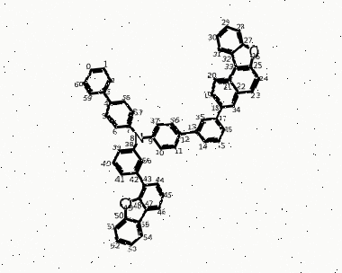 c1ccc(-c2ccc(N(c3ccc(-c4cccc(-c5ccc6c(ccc7oc8ccccc8c76)c5)c4)cc3)c3cccc(-c4cccc5c4oc4ccccc45)c3)cc2)cc1